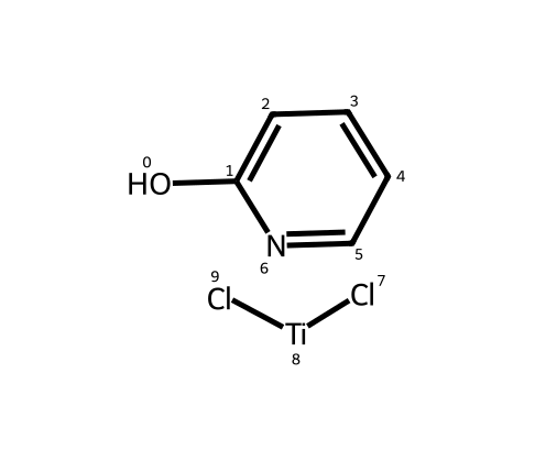 Oc1ccccn1.[Cl][Ti][Cl]